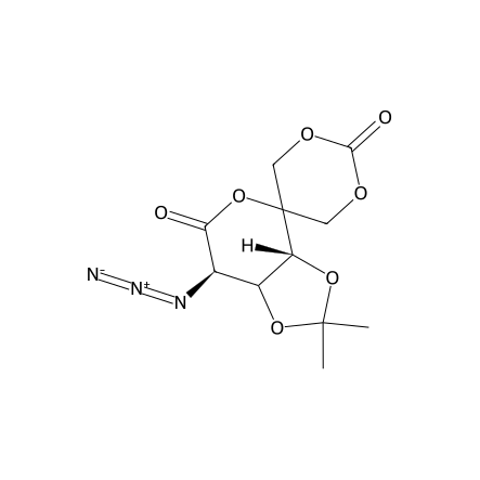 CC1(C)OC2[C@@H](O1)C1(COC(=O)OC1)OC(=O)[C@@H]2N=[N+]=[N-]